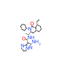 C=Cc1cccc2cc(C(C)NC(=O)c3c(N)nn4cccnc34)n(-c3ccccc3)c(=O)c12